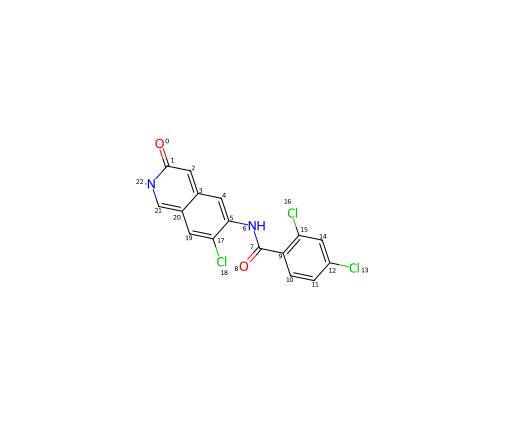 O=C1C=c2cc(NC(=O)c3ccc(Cl)cc3Cl)c(Cl)cc2=C[N]1